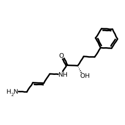 NC/C=C/CNC(=O)[C@@H](O)CCc1ccccc1